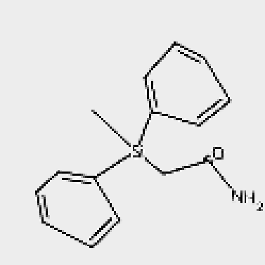 C[Si](CC(N)=O)(c1ccccc1)c1ccccc1